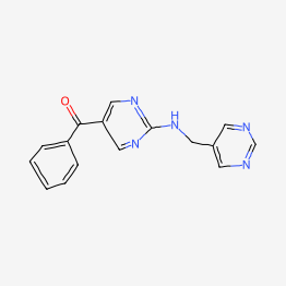 O=C(c1ccccc1)c1cnc(NCc2cncnc2)nc1